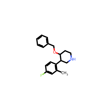 Cc1cc(F)ccc1C1CNCCC1OCc1ccccc1